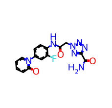 NC(=O)c1nnn(CC(=O)Nc2ccc(-n3ccccc3=O)cc2F)n1